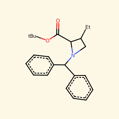 CCC1CN(C(c2ccccc2)c2ccccc2)C1C(=O)OC(C)(C)C